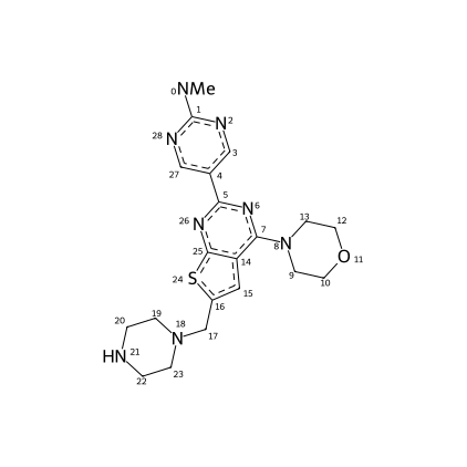 CNc1ncc(-c2nc(N3CCOCC3)c3cc(CN4CCNCC4)sc3n2)cn1